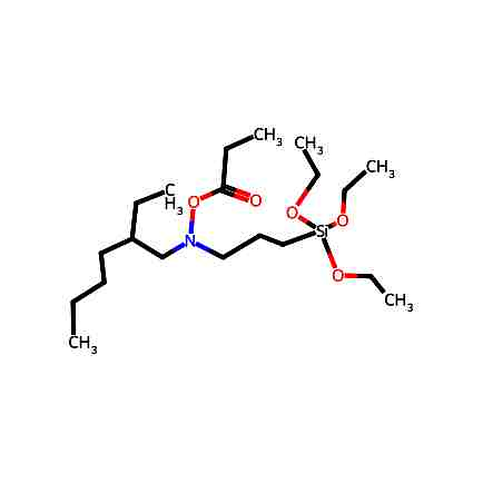 CCCCC(CC)CN(CCC[Si](OCC)(OCC)OCC)OC(=O)CC